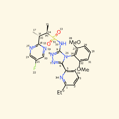 CCc1cccc(-c2nnc(NS(=O)(=O)[C@H](C)[C@@H](C)c3ncc(F)cn3)n2-c2c(OC)cccc2OC)n1